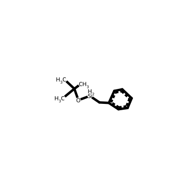 CC(C)(C)O[SiH2]Cc1ccccc1